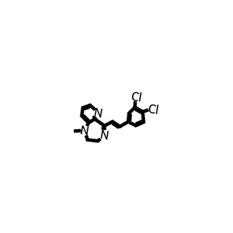 CN1CCN=C(C=Cc2ccc(Cl)c(Cl)c2)c2ncccc21